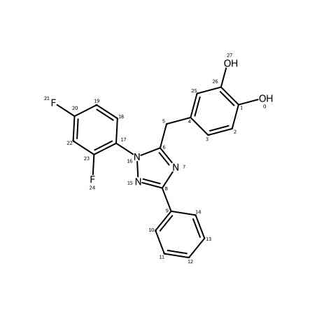 Oc1ccc(Cc2nc(-c3ccccc3)nn2-c2ccc(F)cc2F)cc1O